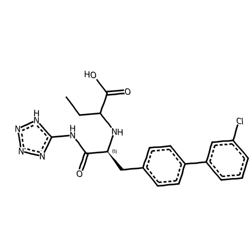 CCC(N[C@@H](Cc1ccc(-c2cccc(Cl)c2)cc1)C(=O)Nc1nnn[nH]1)C(=O)O